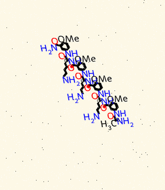 COc1ccc(NC(=O)[C@H](CCCCCN)NC(=O)c2cc(NC(=O)[C@H](CCCCN)NC(=O)c3cc(NC(=O)[C@H](CCCCN)NC(=O)c4cc(NC(=O)[C@H](C)N)ccc4OC)ccc3OC)ccc2OC)cc1C(N)=O